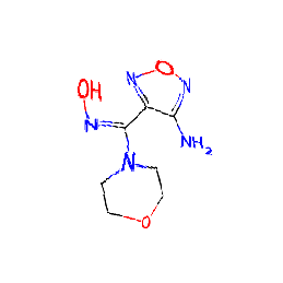 Nc1nonc1C(=NO)N1CCOCC1